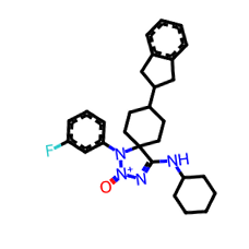 O=[N+]1N=C(NC2CCCCC2)C2(CCC(C3Cc4ccccc4C3)CC2)N1c1cccc(F)c1